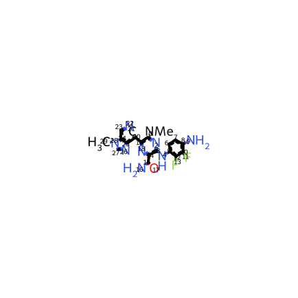 CNc1nc(Nc2ccc(N)c(F)c2F)c(C(N)=O)nc1-c1cncc2c1ncn2C